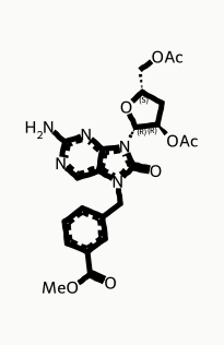 COC(=O)c1cccc(Cn2c(=O)n([C@@H]3O[C@H](COC(C)=O)C[C@H]3OC(C)=O)c3nc(N)ncc32)c1